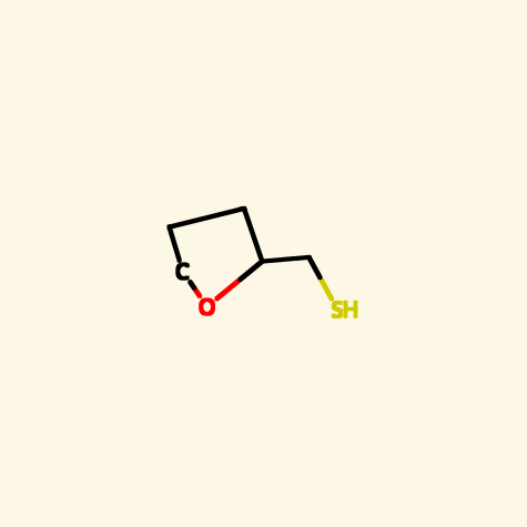 SCC1CCCO1